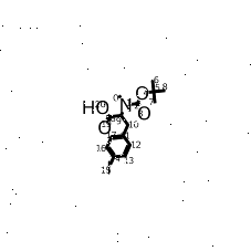 CN(C(=O)OC(C)(C)C)C(Cc1ccc(I)cc1)C(=O)O